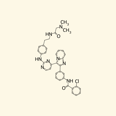 CN(C)CC(=O)NCCc1ccc(Nc2nccc(-c3c(-c4cccc(NC(=O)c5ccccc5Cl)c4)nc4ccccn34)n2)cc1